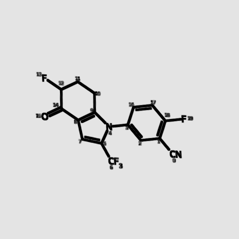 N#Cc1cc(-n2c(C(F)(F)F)cc3c2CCC(F)C3=O)ccc1F